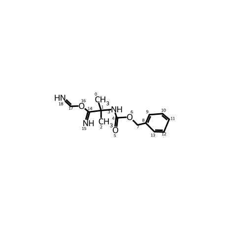 CC(C)(NC(=O)OCc1ccccc1)C(=N)OC=N